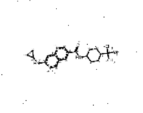 CC(C)(O)C1CCC(NC(=O)c2cnc3cc(NC4CC4)ncc3c2)CC1